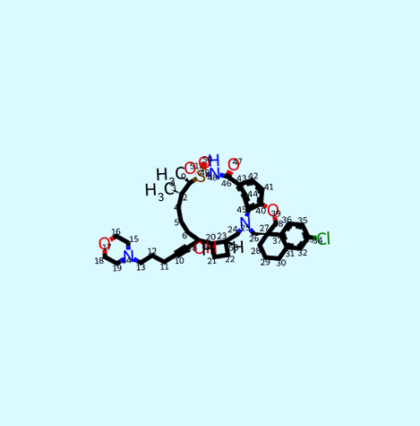 C[C@@H]1[C@@H](C)CCC[C@](O)(C#CCCCN2CCOCC2)[C@@H]2CC[C@H]2CN2C[C@@]3(CCCc4cc(Cl)ccc43)COc3ccc(cc32)C(=O)NS1(=O)=O